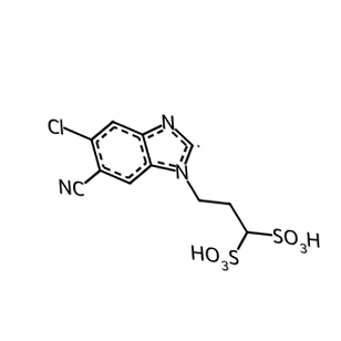 N#Cc1cc2c(cc1Cl)n[c]n2CCC(S(=O)(=O)O)S(=O)(=O)O